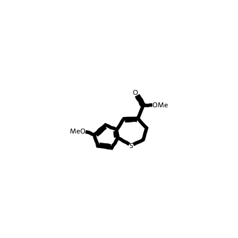 COC(=O)C1=Cc2cc(OC)ccc2SCC1